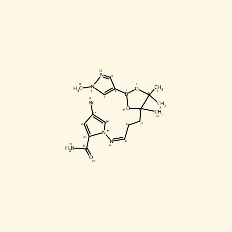 Cn1cc(B2OC(C)(C)C(C)(CC/C=N\n3cc(Br)cc3C(N)=O)O2)cn1